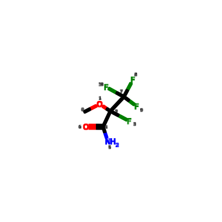 COC(F)(C(N)=O)C(F)(F)F